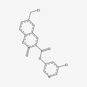 O=C(Oc1cncc(Cl)c1)c1cc2cc(CCl)ccc2oc1=O